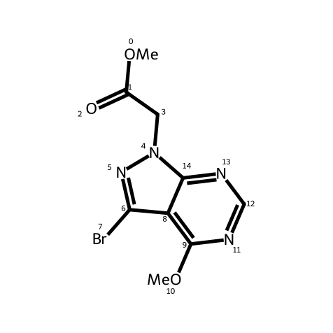 COC(=O)Cn1nc(Br)c2c(OC)ncnc21